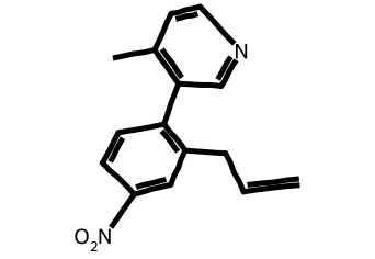 C=CCc1cc([N+](=O)[O-])ccc1-c1cnccc1C